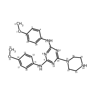 COc1ccc(Nc2nc(Nc3ccc(OC)cc3)nc(N3CCNCC3)n2)cc1